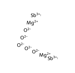 [Mg+2].[Mg+2].[O-2].[O-2].[O-2].[O-2].[O-2].[Sb+3].[Sb+3]